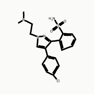 CN(C)CCn1cc(-c2ccc(Cl)cc2)c(-c2ccccc2S(N)(=O)=O)n1